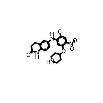 O=C1CCc2cc(Nc3cc(OC4CCNCC4)c([N+](=O)[O-])cc3Cl)ccc2N1